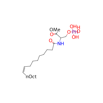 CCCCCCCC/C=C\CCCCCCCC(=O)NC(CO[PH](O)(O)O)C(=O)OC